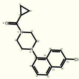 O=C(C1CC1)N1CCN(c2cccc3cc(Cl)ccc23)CC1